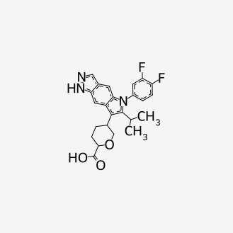 CC(C)c1c(C2CCC(C(=O)O)OC2)c2cc3[nH]ncc3cc2n1-c1ccc(F)c(F)c1